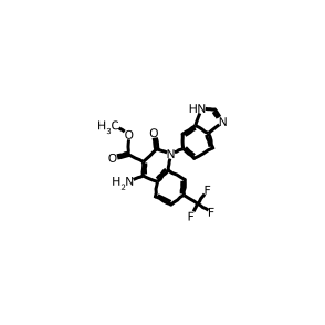 COC(=O)c1c(N)c2ccc(C(F)(F)F)cc2n(-c2ccc3nc[nH]c3c2)c1=O